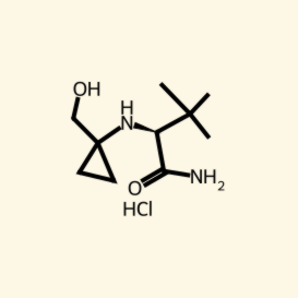 CC(C)(C)[C@H](NC1(CO)CC1)C(N)=O.Cl